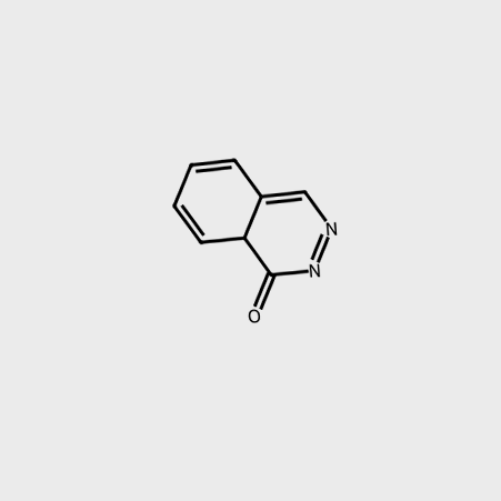 O=C1N=NC=C2C=CC=CC12